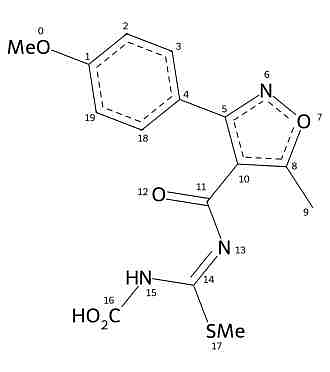 COc1ccc(-c2noc(C)c2C(=O)N=C(NC(=O)O)SC)cc1